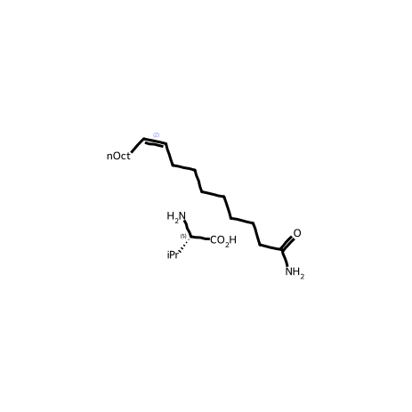 CC(C)[C@H](N)C(=O)O.CCCCCCCC/C=C\CCCCCCCC(N)=O